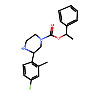 Cc1cc(F)ccc1C1CN(C(=O)OC(C)c2ccccc2)CCN1